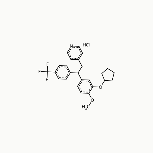 COc1ccc(C(Cc2ccncc2)c2ccc(C(F)(F)F)cc2)cc1OC1CCCC1.Cl